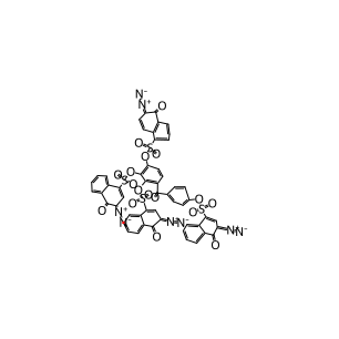 [N-]=[N+]=C1C=C(S(=O)(=O)Oc2ccc(C(=O)c3ccc(OS(=O)(=O)c4cccc5c4C=CC(=[N+]=[N-])C5=O)c(OS(=O)(=O)C4=CC(=[N+]=[N-])C(=O)c5ccccc54)c3OS(=O)(=O)C3=CC(=[N+]=[N-])C(=O)c4ccccc43)cc2)c2ccccc2C1=O